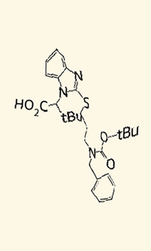 CC(C)(C)OC(=O)N(CCCSc1nc2ccccc2n1C(C(=O)O)C(C)(C)C)Cc1ccccc1